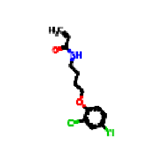 C=CC(=O)NCCCCOc1ccc(Cl)cc1Cl